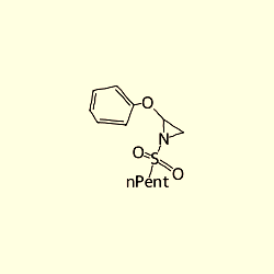 CCCCCS(=O)(=O)N1CC1Oc1ccccc1